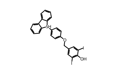 Oc1c(I)cc(COc2ccc([SH]3c4ccccc4-c4ccccc43)cc2)cc1I